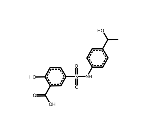 CC(O)c1ccc(NS(=O)(=O)c2ccc(O)c(C(=O)O)c2)cc1